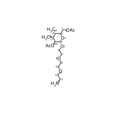 CC(=O)OCC1O[C@H](OCCOCCOCCN)C(OC(C)=O)[C@@H](C)[C@@H]1C